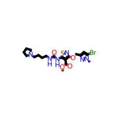 COC(=O)c1c(OCc2cc(Br)n(C)n2)nsc1NC(=O)NCCCCN1CCCC1